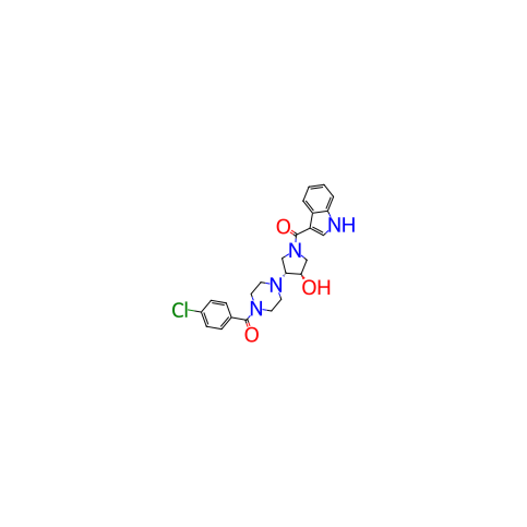 O=C(c1ccc(Cl)cc1)N1CCN([C@@H]2CN(C(=O)c3c[nH]c4ccccc34)C[C@H]2O)CC1